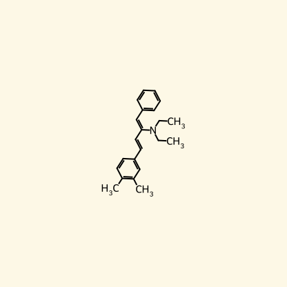 CCN(CC)C(=C\c1ccccc1)/C=C/c1ccc(C)c(C)c1